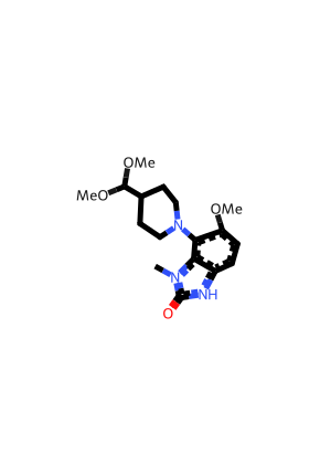 COc1ccc2[nH]c(=O)n(C)c2c1N1CCC(C(OC)OC)CC1